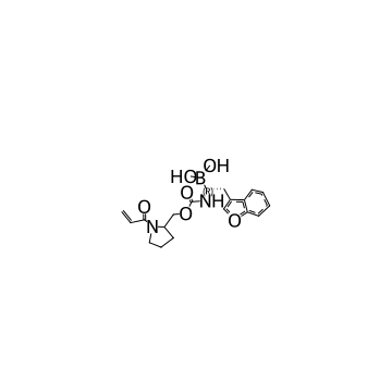 C=CC(=O)N1CCCC1COC(=O)N[C@@H](Cc1coc2ccccc12)B(O)O